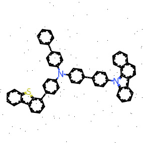 c1ccc(-c2ccc(N(c3ccc(-c4ccc(-n5c6ccccc6c6ccc7ccccc7c65)cc4)cc3)c3ccc(-c4cccc5c4sc4ccccc45)cc3)cc2)cc1